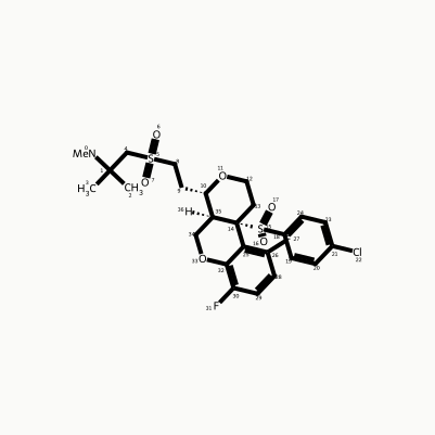 CNC(C)(C)CS(=O)(=O)CC[C@@H]1OCC[C@@]2(S(=O)(=O)c3ccc(Cl)cc3)c3c(F)ccc(F)c3OC[C@@H]12